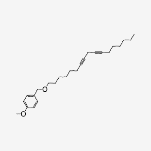 CCCCCCC#CCC#CCCCCCCOCc1ccc(OC)cc1